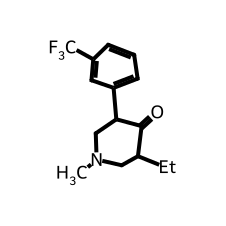 CCC1CN(C)CC(c2cccc(C(F)(F)F)c2)C1=O